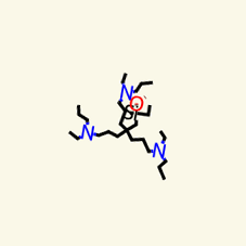 CCCN(CC)CCCC(CCCN(CC)CCC)(CCCN(CC)CCC)C[Si](C)(CC)OC